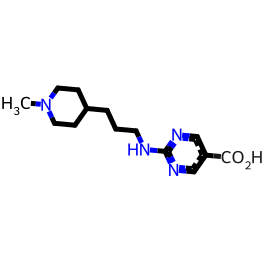 CN1CCC(CCCNc2ncc(C(=O)O)cn2)CC1